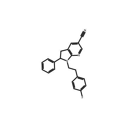 N#Cc1cnc2c(c1)CC(c1ccccc1)N2CCc1ccc(F)cc1